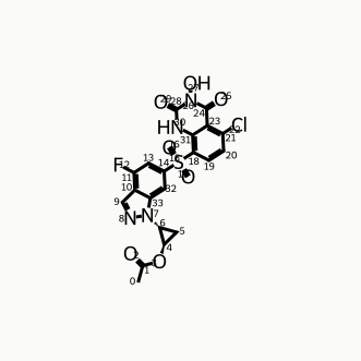 CC(=O)O[C@@H]1C[C@H]1n1ncc2c(F)cc(S(=O)(=O)c3ccc(Cl)c4c(=O)n(O)c(=O)[nH]c34)cc21